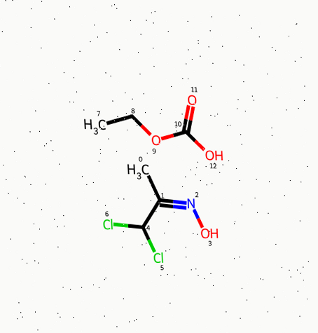 CC(=NO)C(Cl)Cl.CCOC(=O)O